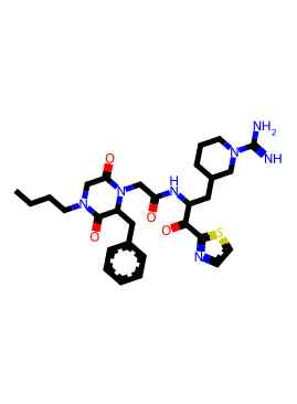 CCCCN1CC(=O)N(CC(=O)NC(CC2CCCN(C(=N)N)C2)C(=O)c2nccs2)C(Cc2ccccc2)C1=O